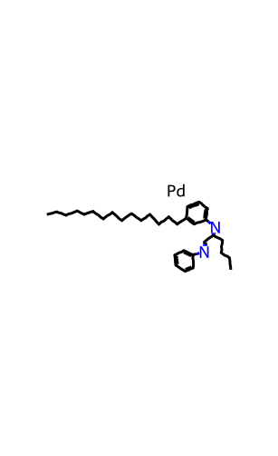 CCCCCCCCCCCCCCCc1cccc(N=C(C=Nc2ccccc2)CCCC)c1.[Pd]